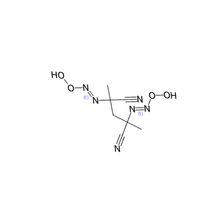 CC(C#N)(CC(C)(C#N)/N=N/OO)/N=N/OO